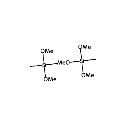 CO[Si](C)(C)OC.CO[Si](C)(OC)OC